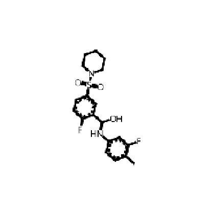 Cc1ccc(NC(O)c2cc(S(=O)(=O)N3CCCCC3)ccc2F)cc1F